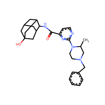 CC1CN(Cc2ccccc2)CCN1c1nccc(C(=O)NC2C3CC4CC2CC(O)(C4)C3)n1